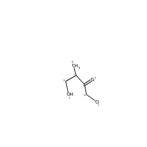 CC(CO)C(=O)CCl